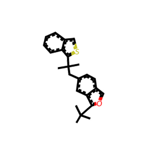 CC(C)(C)c1occ2ccc(CC(C)(C)c3scc4ccccc34)cc12